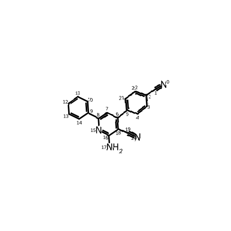 N#Cc1ccc(-c2cc(-c3ccccc3)nc(N)c2C#N)cc1